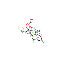 C[C@@H]1C[C@H]2[C@@H]3C[C@H](F)C4=CC(=O)C=C[C@]4(C)[C@@]3(F)[C@@H](O)C[C@]2(C)[C@@]1(OC(=O)C1CCC1)C(=O)SCF